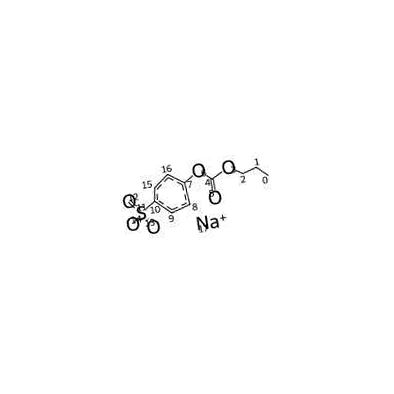 CCCOC(=O)Oc1ccc(S(=O)(=O)[O-])cc1.[Na+]